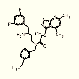 CCc1cccc(CN(C[C@@H](O)[C@@H](N)Cc2cc(F)cc(F)c2)C(=O)CSc2nnc3nc(C)cc(C)n23)c1